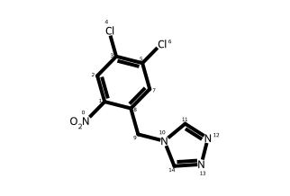 O=[N+]([O-])c1cc(Cl)c(Cl)cc1Cn1cnnc1